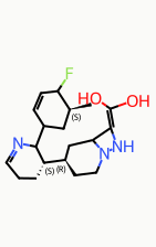 C[C@H]1CC(C2N=CCC[C@H]2[C@@H]2CCN3NC(=C(O)O)C3C2)C=CC1F